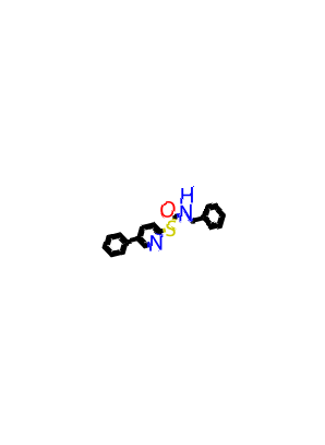 O=C(NCc1ccccc1)Sc1ccc(-c2ccccc2)cn1